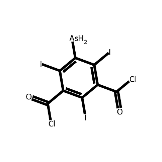 O=C(Cl)c1c(I)c([AsH2])c(I)c(C(=O)Cl)c1I